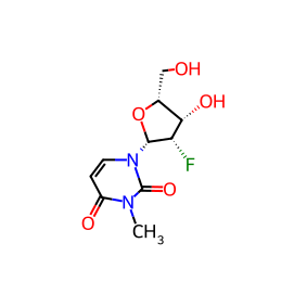 Cn1c(=O)ccn([C@@H]2O[C@H](CO)[C@H](O)[C@@H]2F)c1=O